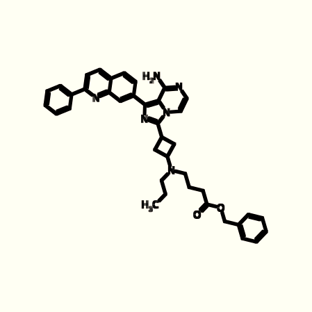 CCCN(CCCC(=O)OCc1ccccc1)C1CC(c2nc(-c3ccc4ccc(-c5ccccc5)nc4c3)c3c(N)nccn23)C1